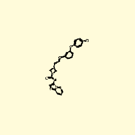 O=C(Nc1cnc2cccnn12)N1CC(CCOc2cccc(Oc3ccc(Cl)cc3)c2)C1